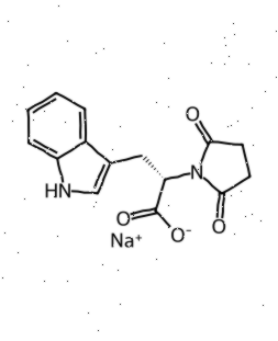 O=C([O-])[C@H](Cc1c[nH]c2ccccc12)N1C(=O)CCC1=O.[Na+]